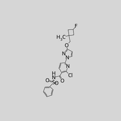 CC1(COc2ccn(-c3ccc(C(=O)NS(=O)(=O)c4ccccc4)c(Cl)n3)n2)CC(F)C1